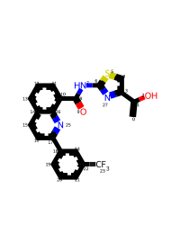 C=C(O)c1csc(NC(=O)c2cccc3ccc(-c4cccc(C(F)(F)F)c4)nc23)n1